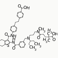 CCC(CC)N(CCCN(C)C(=O)CCC(C)(C)C(=O)O)Cc1cccc(C(=O)Nc2sc3c(c2C(=O)Nc2ccc(CCc4ccc(C(=O)O)cc4)cc2)CCCC3)c1